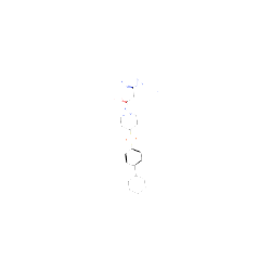 N=C(N)CC(=O)N1CCC(S(=O)(=O)c2ccc(C3CCCCC3)cc2)CC1